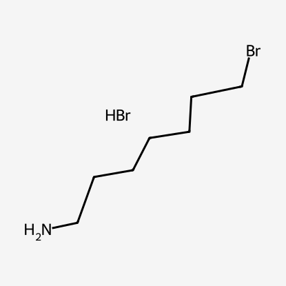 Br.NCCCCCCCBr